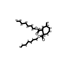 CCCCCCCOC(=O)C1CCCC(C)CC1C(=O)OCCCCCCC